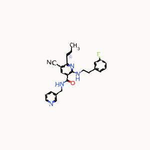 C/C=C/c1nc(NCCc2cccc(F)c2)c(C(=O)NCc2cccnc2)cc1C#N